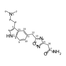 CN(C)CCc1c[nH]c2ccc(Cc3nc(CC(N)=O)no3)cc12